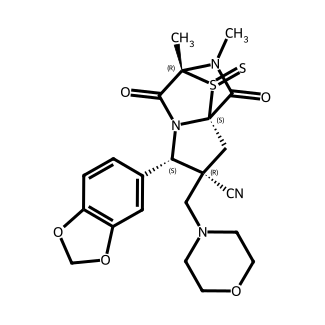 CN1C(=O)[C@@]23C[C@@](C#N)(CN4CCOCC4)[C@H](c4ccc5c(c4)OCO5)N2C(=O)[C@@]1(C)S3=S